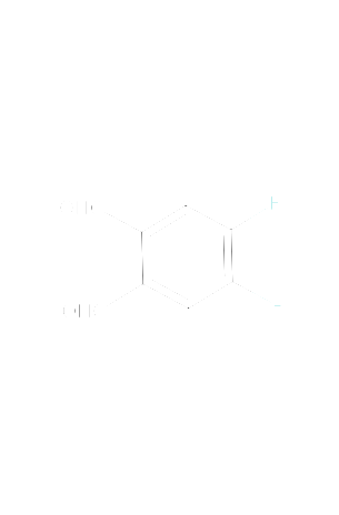 O=[C]c1cc(F)c(F)cc1[C]=O